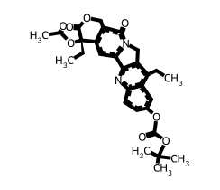 CCc1c2c(nc3ccc(OC(=O)OC(C)(C)C)cc13)-c1cc3c(c(=O)n1C2)COC(=O)[C@@]3(CC)OC(C)=O